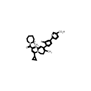 CC1=C(c2ccc(-c3ccc(C(=O)O)cn3)cc2F)C=C2N=C(C(=O)N3CCCCC[C@H]3C)C=C(C3CC3)N2CC1